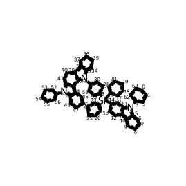 c1ccc(-n2c3ccccc3c3ccc([Si](c4ccccc4)(c4ccccc4)c4ccc(-n5c6ccccc6c6ccc7c(c8ccccc8n7-c7ccccc7)c65)cc4)cc32)cc1